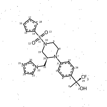 C[C@@](O)(c1ccc(N2CCN(S(=O)(=O)c3cccs3)C[C@@H]2Cn2ccnc2)cc1)C(F)(F)F